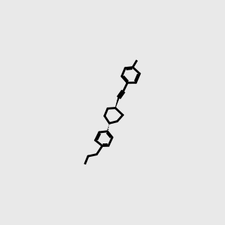 CCCc1ccc([C@H]2CC[C@H](C#Cc3ccc(C)cc3)CC2)cc1